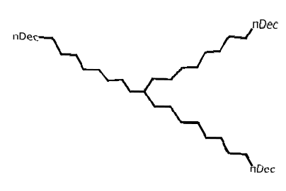 CCCCCCCCCCCCCCCCCC[C](CCCCCCCCCCCCCCCCCC)CCCCCCCCCCCCCCCCCC